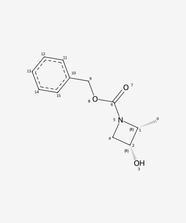 C[C@@H]1[C@H](O)CN1C(=O)OCc1ccccc1